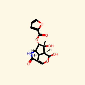 C[C@]1(O)[C@@H](OC(=O)c2ccco2)[C@H]2NC(=O)C3=COC(O)[C@H]1[C@@H]32